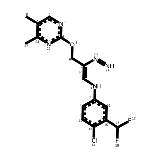 Cc1cnc(OC/C(=C/Nc2ccc(Cl)c(C(F)F)c2)N=N)nc1C